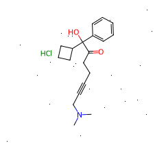 CN(C)CC#CCCC(=O)C(O)(c1ccccc1)C1CCC1.Cl